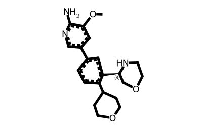 COc1cc(-c2ccc(C3CCOCC3)c([C@@H]3COCCN3)c2)cnc1N